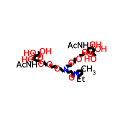 CC[C@@H]1C[C@@H](C)CN1C(=O)CCN(CCOCCOCCO[C@@H]1OC(CO)[C@H](O)[C@H](O)C1NC(C)=O)CCOCCOCCO[C@@H]1OC(CO)[C@H](O)[C@H](O)C1NC(C)=O